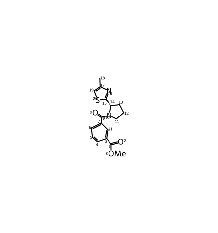 COC(=O)c1cccc(C(=O)N2CCC[C@@H]2c2nc(C)cs2)c1